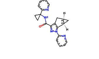 O=C(NC1(c2ccccn2)CC1)c1nn(-c2ccccn2)c2c1C[C@H]1C[C@@H]21